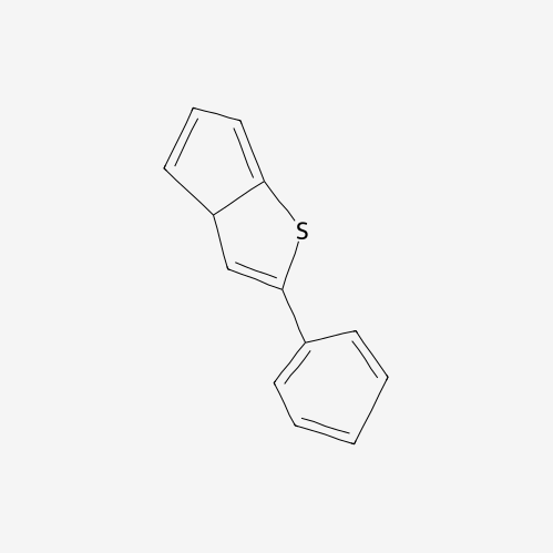 C1=CC2C=C(c3ccccc3)SC2=C1